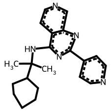 CC(C)(Nc1nc(-c2ccncc2)nc2cnccc12)C1CCCCC1